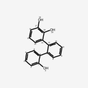 Oc1ccccc1-c1ccccc1-c1cccc(O)c1O